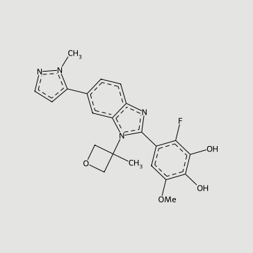 COc1cc(-c2nc3ccc(-c4ccnn4C)cc3n2C2(C)COC2)c(F)c(O)c1O